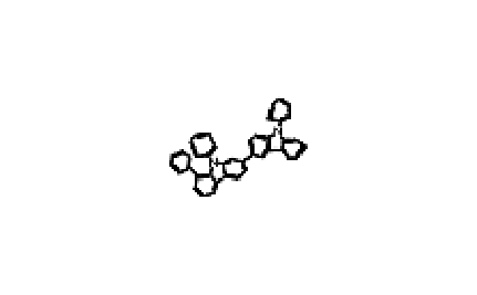 c1ccc(-c2cccc3c4ccc(-c5ccc6c(c5)c5ccccc5n6-c5ccccc5)cc4n(-c4ccccc4)c23)cc1